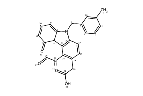 Cc1cccc(CN2C3=CN=CC(=O)C3c3c2ccc(CC(=O)O)c3NC=O)c1